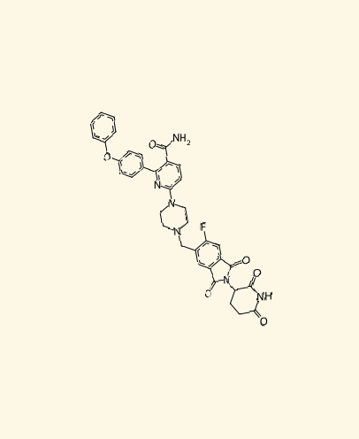 NC(=O)c1ccc(N2CCN(Cc3cc4c(cc3F)C(=O)N(C3CCC(=O)NC3=O)C4=O)CC2)nc1-c1ccc(Oc2ccccc2)cc1